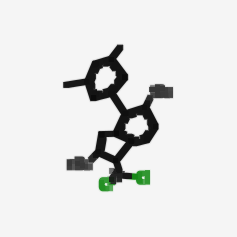 CCCCC1=Cc2c(ccc(C(C)(C)C)c2-c2cc(C)cc(C)c2)[CH]1[Zr]([Cl])[Cl]